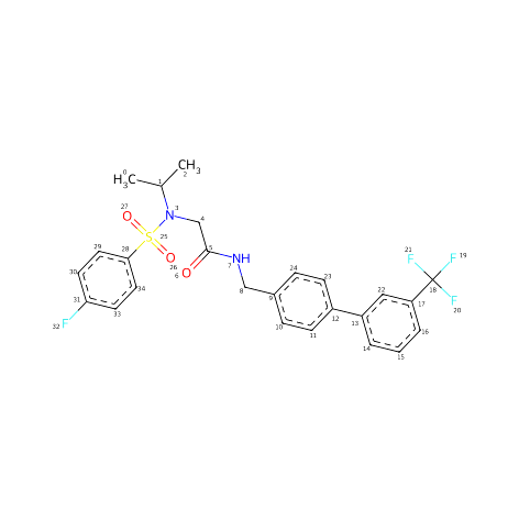 CC(C)N(CC(=O)NCc1ccc(-c2cccc(C(F)(F)F)c2)cc1)S(=O)(=O)c1ccc(F)cc1